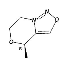 C[C@H]1OCC[n+]2nocc21